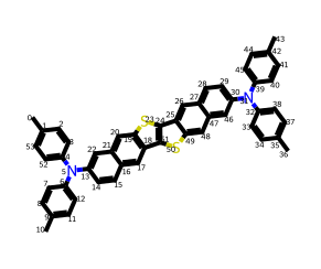 Cc1ccc(N(c2ccc(C)cc2)c2ccc3cc4c(cc3c2)sc2c3cc5ccc(N(c6ccc(C)cc6)c6ccc(C)cc6)cc5cc3sc42)cc1